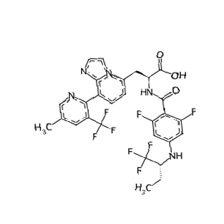 CC[C@@H](Nc1cc(F)c(C(=O)N[C@@H](Cc2ccc(-c3ncc(C)cc3C(F)(F)F)c3nccn23)C(=O)O)c(F)c1)C(F)(F)F